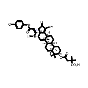 CCN/C(=C\C(=O)Nc1ccc(Cl)cc1)[C@@]12CC[C@]3(C)[C@H](CC[C@@H]4[C@@]5(C)CC[C@H](OC(=O)CC(C)(C)C(=O)O)C(C)(C)[C@@H]5CC[C@]43C)C1=C(C(C)C)C(=O)C2